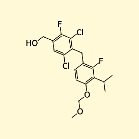 COCOc1ccc(Cc2c(Cl)cc(CO)c(F)c2Cl)c(F)c1C(C)C